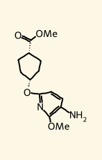 COc1nc(O[C@H]2CC[C@@H](C(=O)OC)CC2)ccc1N